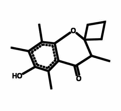 Cc1c(C)c2c(c(C)c1O)C(=O)C(C)C1(CCC1)O2